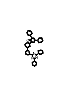 c1ccc(-c2cc(-c3ccccc3)c3oc4ccc(-c5cccc(-c6nc(-c7ccccc7)nc(-c7ccccc7)n6)c5)cc4c3c2)cc1